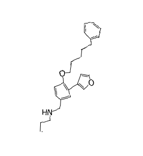 [CH2]CCNCc1ccc(OCCCCCc2ccccc2)c(-c2ccoc2)c1